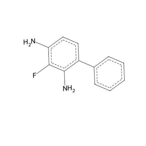 Nc1ccc(-c2ccccc2)c(N)c1F